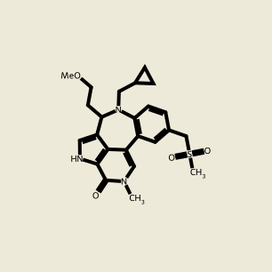 COCCC1c2c[nH]c3c(=O)n(C)cc(c23)-c2cc(CS(C)(=O)=O)ccc2N1CC1CC1